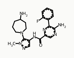 Cn1ncc(NC(=O)c2cnc(N)c(-c3ccccc3F)n2)c1N1CCCC(N)CC1